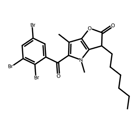 CCCCCCC1C(=O)Oc2c(C)c(C(=O)c3cc(Br)cc(Br)c3Br)n(C)c21